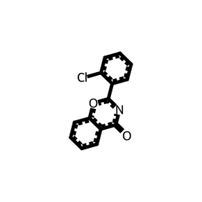 O=c1nc(-c2ccccc2Cl)oc2ccccc12